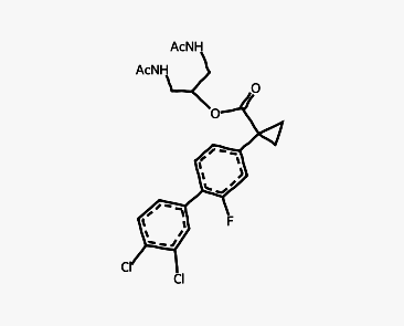 CC(=O)NCC(CNC(C)=O)OC(=O)C1(c2ccc(-c3ccc(Cl)c(Cl)c3)c(F)c2)CC1